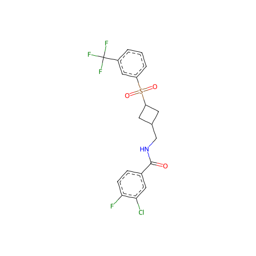 O=C(NCC1CC(S(=O)(=O)c2cccc(C(F)(F)F)c2)C1)c1ccc(F)c(Cl)c1